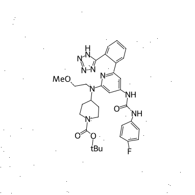 COCCN(c1cc(NC(=O)Nc2ccc(F)cc2)cc(-c2ccccc2-c2nnn[nH]2)n1)C1CCN(C(=O)OC(C)(C)C)CC1